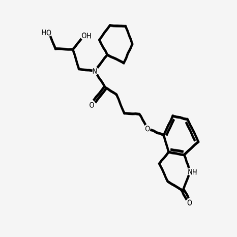 O=C1CCc2c(cccc2OCCCC(=O)N(CC(O)CO)C2CCCCC2)N1